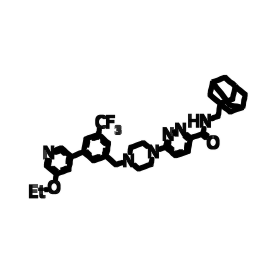 CCOc1cncc(-c2cc(CN3CCN(c4ccc(C(=O)NCC56CC7CC(CC(C7)C5)C6)nn4)CC3)cc(C(F)(F)F)c2)c1